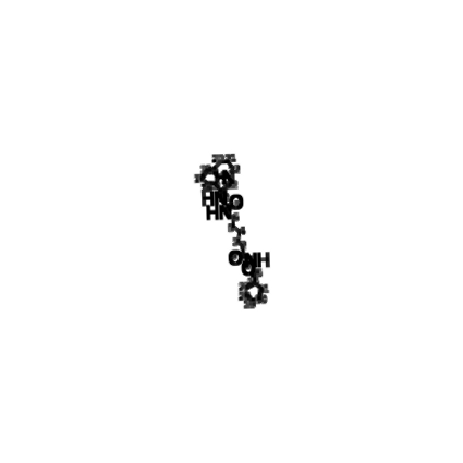 O=C(CCCCCNC(=O)Nc1cn2c3c(cccc13)CCC2)NOCc1ccccc1